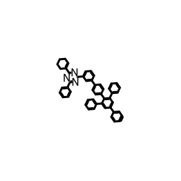 c1ccc(-c2cc(-c3ccccc3)c(-c3ccc(-c4cccc(-c5nc(C6=CCCCC6)nc(-c6ccccc6)n5)c4)cc3)c(-c3ccccc3)c2)cc#1